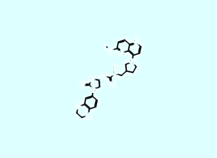 COc1ccc2nccc(N3CCC(CNC(=O)O[C@@H]4CN(c5ccc6c(c5)OCCO6)C(=O)O4)C3)c2n1